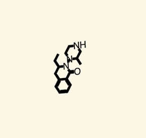 CCC1Cc2ccccc2C(=O)N1N1CCNCC1C